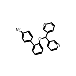 N#Cc1ccc(-c2ccccc2OC(c2cccnc2)c2cccnc2)cc1